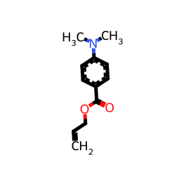 C=CCOC(=O)c1ccc(N(C)C)cc1